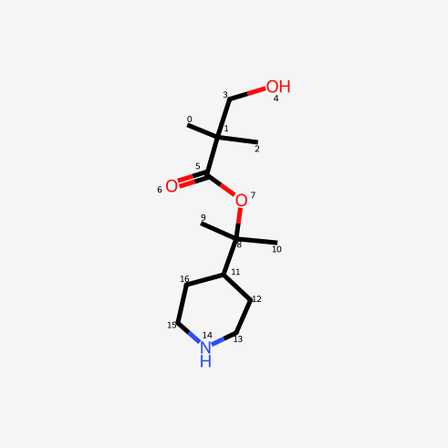 CC(C)(CO)C(=O)OC(C)(C)C1CCNCC1